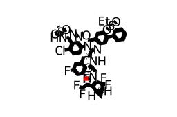 CCS(=O)(=O)c1ccccc1-c1ccc2c(=O)n(-c3ccc(Cl)c4c(NS(C)(=O)=O)nn(C)c34)c([C@H](Cc3cc(F)cc(F)c3)NC(=O)Cn3nc(C(F)F)c4c3C(F)(F)[C@@H]3C[C@H]43)nc2c1